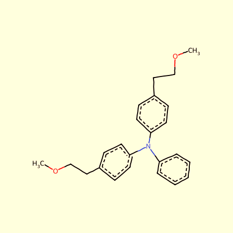 COCCc1ccc(N(c2ccccc2)c2ccc(CCOC)cc2)cc1